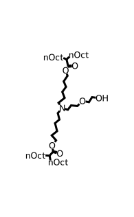 CCCCCCCCC(CCCCCCCC)C(=O)OCCCCCCN(CCCCCCOC(=O)C(CCCCCCCC)CCCCCCCC)CCCOCCO